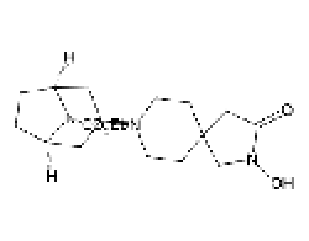 CCOC(=O)N1[C@@H]2CC[C@H]1C[C@@H](N1CCC3(CC1)CC(=O)N(O)C3)C2